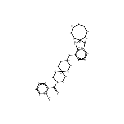 O=C(c1cccc[n+]1[O-])N1CCC2(CCN(Cc3cccc4c3OC3(CCCCCCC3)O4)CC2)CC1